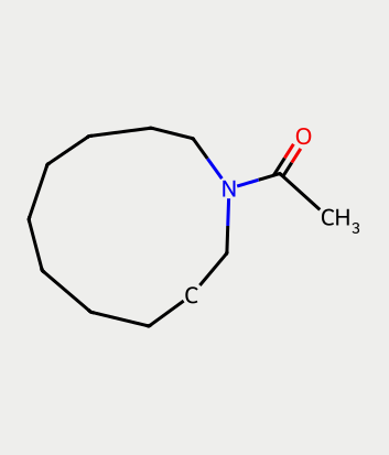 CC(=O)N1CCCCCCCCCC1